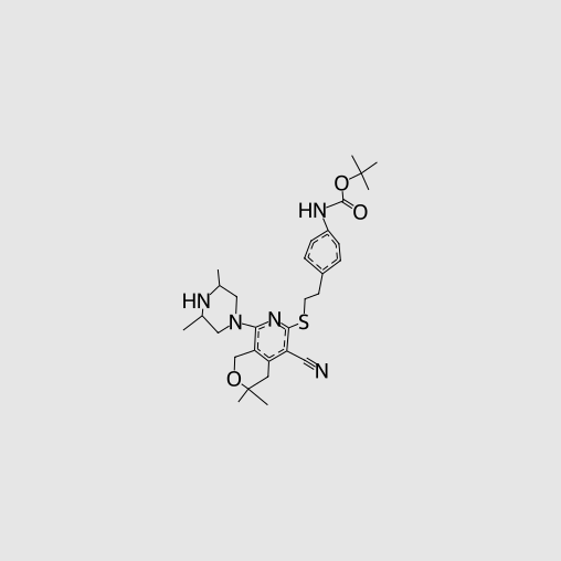 CC1CN(c2nc(SCCc3ccc(NC(=O)OC(C)(C)C)cc3)c(C#N)c3c2COC(C)(C)C3)CC(C)N1